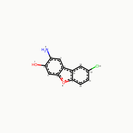 Nc1cc2c(cc1O)oc1ccc(Cl)cc12